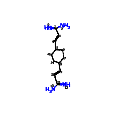 N=C(N)C=CC1CCC(C=CC(=N)N)CC1